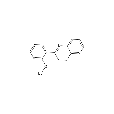 CCOc1ccccc1-c1ccc2ccccc2n1